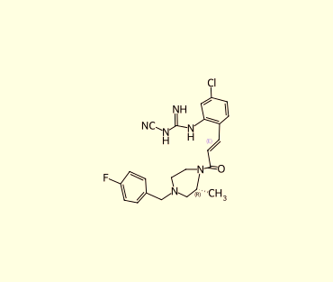 C[C@@H]1CN(Cc2ccc(F)cc2)CCN1C(=O)/C=C/c1ccc(Cl)cc1NC(=N)NC#N